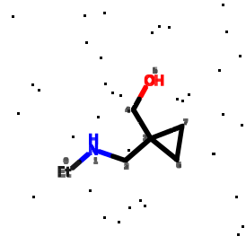 CCNCC1(CO)CC1